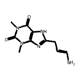 Cn1c(=O)c2[nH]c(CC=CN)nc2n(C)c1=O